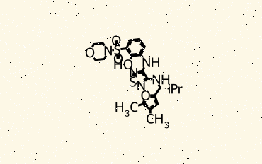 Cc1cc([C@H](Nc2nsnc2Nc2cccc(S(=O)(=O)N3CCOCC3)c2O)C(C)C)oc1C